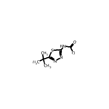 CC(C)(C)c1nnc(NC(=O)Cl)s1